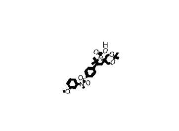 COc1cccc(N(C)S(=O)(=O)c2ccc(CCC3(N(C(=O)O)C(C)(C)C)COC(C)(C)OC3)cc2)c1